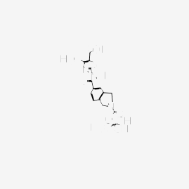 Cc1nc(NC(=O)c2ccc3c(c2)CCN(C(=O)OC(C)(C)C)C3)sc1C(=O)O